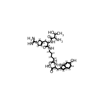 CC(O)C(N)C(=O)NC(CC1=CCN(C(=N)N)C1)C(=O)NCCCCC(=O)NC(Cc1cc2ccc(O)cc2[nH]1)C(=O)O